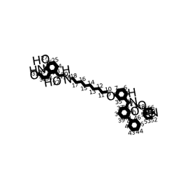 O=C(NC(c1cccc(OCCCCCCCCCNCC(O)c2ccc(O)c3[nH]c(=O)ccc23)c1)c1cccc(-c2ccccc2)c1)OC1CN2CCC1CC2